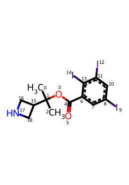 CC(C)(OC(=O)c1cc(I)cc(I)c1I)C1CNC1